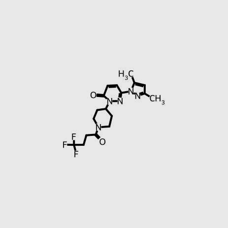 Cc1cc(C)n(-c2ccc(=O)n(C3CCN(C(=O)CCC(F)(F)F)CC3)n2)n1